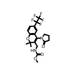 COC(=O)NCC1=C(N2CCCC2=O)c2cc(C(F)(F)C(F)(F)F)ccc2OC1(C)C